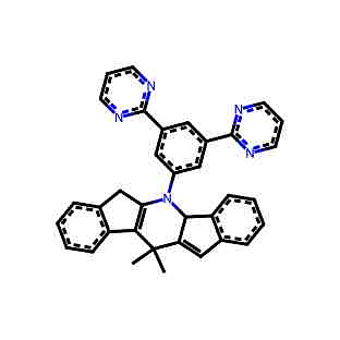 CC1(C)C2=Cc3ccccc3C2N(c2cc(-c3ncccn3)cc(-c3ncccn3)c2)C2=C1c1ccccc1C2